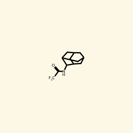 O=C(NC1C2CC3CC(C2)CC1C3)C(F)(F)F